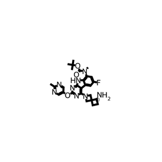 Cc1ncc(Oc2nc(N3CC4(CC[C@H]4N)C3)c3c(n2)[nH]c2c(N(C)C(=O)OC(C)(C)C)cc(F)cc23)cn1